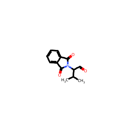 CC(C)C(C=O)N1C(=O)c2ccccc2C1=O